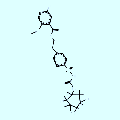 [2H]C1([2H])C([2H])([2H])C([2H])([2H])C([2H])(NC(=O)NS(=O)(=O)c2ccc(CCNC(=O)c3cc(Cl)ccc3OC)cc2)C([2H])([2H])C1([2H])[2H]